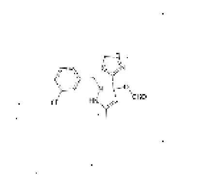 CC1=CC(OC=O)(c2ccon2)N(Cc2cccc(Cl)c2)N1